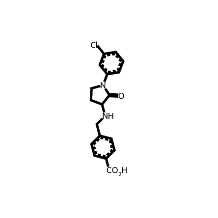 O=C(O)c1ccc(CNC2CCN(c3cccc(Cl)c3)C2=O)cc1